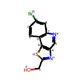 OCc1nc2cnc3cc(Br)ccc3c2s1